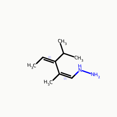 C/C=C(\C(C)=C/NN)C(C)C